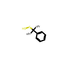 CCCC(CCC)(SS)c1ccccc1